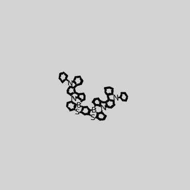 c1ccc(-n2c3ccccc3c3c4c5cccc6c5n(c4ccc32)-c2cccc3c2B6c2cc4c(cc2S3)Sc2cccc3c2B4c2cccc4c5c6c7ccccc7n(-c7ccccc7)c6ccc5n-3c24)cc1